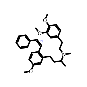 COc1ccc(/C=C\c2ccccc2)c(CCC(C)N(C)CCc2ccc(OC)c(OC)c2)c1